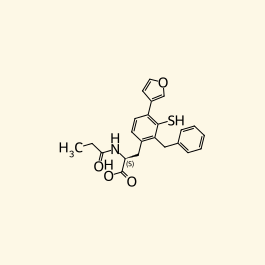 CCC(=O)N[C@@H](Cc1ccc(-c2ccoc2)c(S)c1Cc1ccccc1)C(=O)O